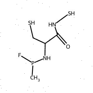 CP(F)NC(CS)C(=O)NS